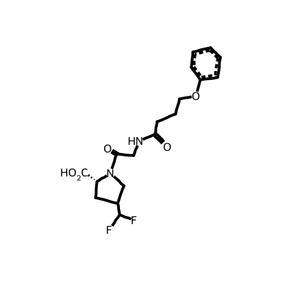 O=C(CCCOc1ccccc1)NCC(=O)N1CC(C(F)F)C[C@@H]1C(=O)O